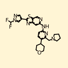 FC(F)n1cc(-c2nc3cc(Nc4ccc(C5CCOCC5)c(CN5CCCC5)n4)ncc3s2)cn1